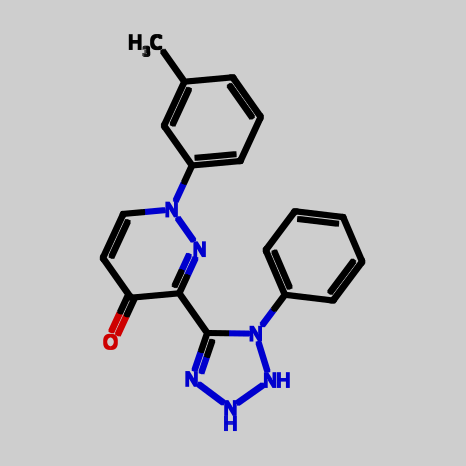 Cc1cccc(-n2ccc(=O)c(C3=NNNN3c3ccccc3)n2)c1